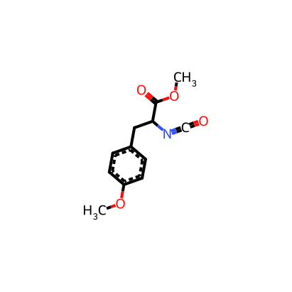 COC(=O)C(Cc1ccc(OC)cc1)N=C=O